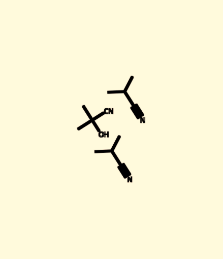 CC(C)(O)C#N.CC(C)C#N.CC(C)C#N